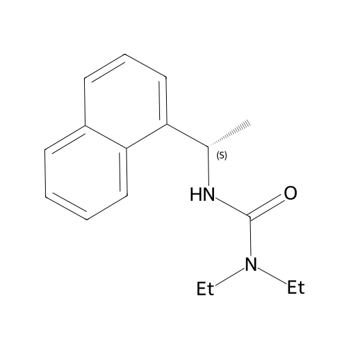 CCN(CC)C(=O)N[C@@H](C)c1cccc2ccccc12